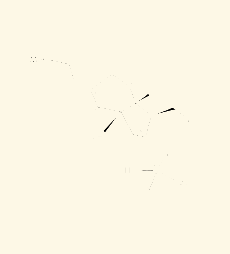 COCO[C@@H]1CC[C@H]2[C@@H](C1)C[C@@H](O[Si](C)(C)C(C)(C)C)[C@@H]2CO